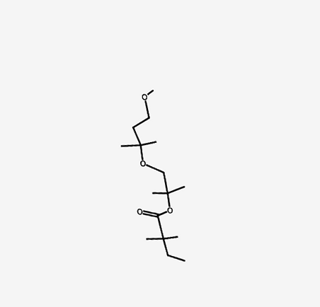 CCC(C)(C)C(=O)OC(C)(C)COC(C)(C)CCOC